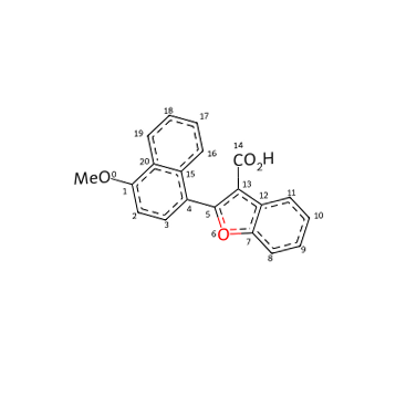 COc1ccc(-c2oc3ccccc3c2C(=O)O)c2ccccc12